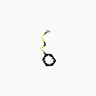 CC(C)SCSc1ccccc1